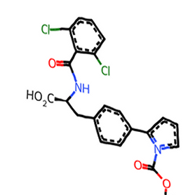 CC(C)(C)OC(=O)n1cccc1-c1ccc(C[C@H](NC(=O)c2c(Cl)cccc2Cl)C(=O)O)cc1